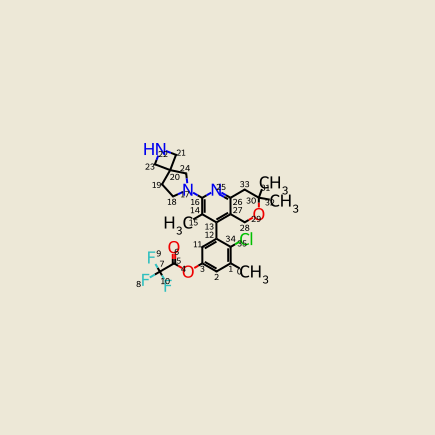 Cc1cc(OC(=O)C(F)(F)F)cc(-c2c(C)c(N3CCC4(CNC4)C3)nc3c2COC(C)(C)C3)c1Cl